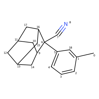 Cc1cccc(C2(C#N)C3CC4CC(C3)CC2C4)c1